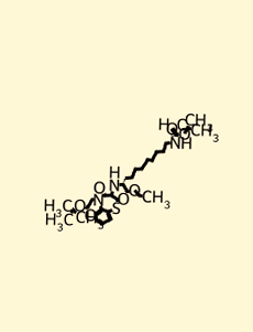 CCOC(=O)[C@@H](CCCCCCCCCNC(=O)OC(C)(C)C)NC1CSc2ccccc2N(CC(=O)OC(C)(C)C)C1=O